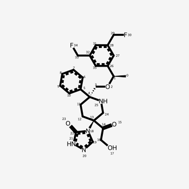 C[C@@H](OC[C@@]1(c2ccccc2)CC[C@](C(=O)CO)(n2cn[nH]c2=O)CN1)c1cc(CF)cc(CF)c1